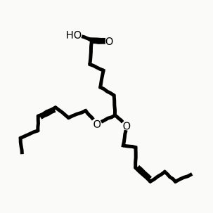 CCC/C=C\CCOC(CCCCC(=O)O)OCC/C=C\CCC